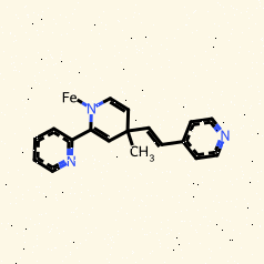 CC1(C=Cc2ccncc2)C=C[N]([Fe])C(c2ccccn2)=C1